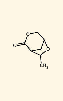 CC1OC2COC(=O)C1C2